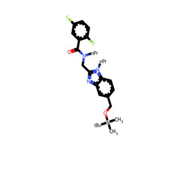 CCCN(Cc1nc2cc(CO[Si](C)(C)C(C)(C)C)ccc2n1CCC)C(=O)c1cc(F)ccc1F